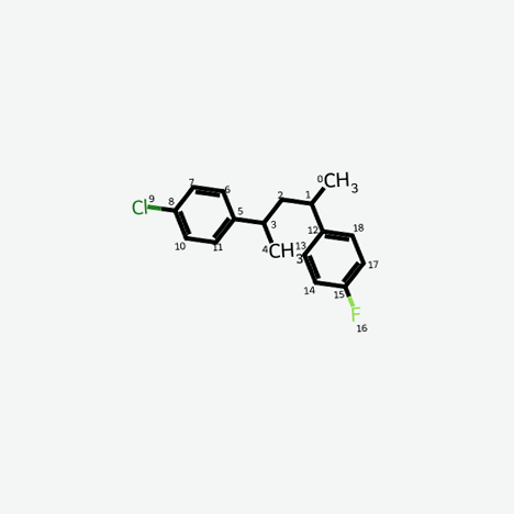 CC(CC(C)c1ccc(Cl)cc1)c1ccc(F)cc1